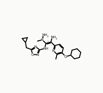 Cc1nc(/C(N)=C(\Nc2noc(CC3CC3)n2)N(C)N)ccc1OC1CCCCC1